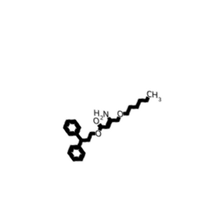 CCCCCCOC/C(N)=C/C(=O)OCCC(c1ccccc1)c1ccccc1